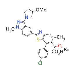 CO[C@H]1CCN(c2nn(C)c3ccc(-c4nc5cc(C)c(C(OC(C)(C)C)C(=O)O)c(-c6ccc(Cl)cc6)c5s4)cc23)C1